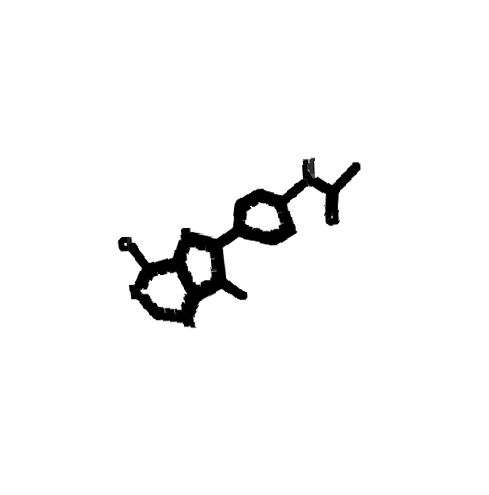 CC(=O)Nc1ccc(-c2sc3c(Cl)ncnc3c2C)cc1